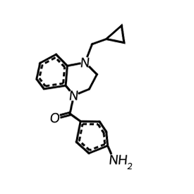 Nc1ccc(C(=O)N2CCN(CC3CC3)c3ccccc32)cc1